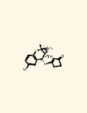 CC1(C)Oc2ccc(C#N)cc2[C@@H](OC2=CC(=O)CC2)[C@]1(C)O